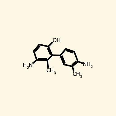 Cc1cc(-c2c(O)ccc(N)c2C)ccc1N